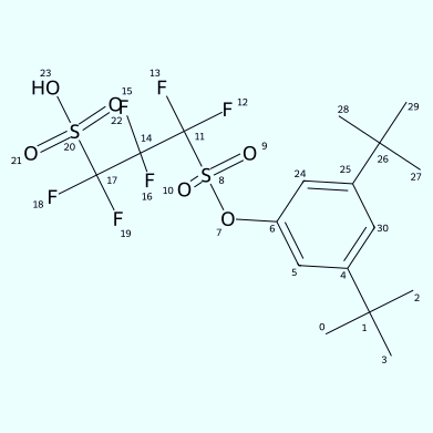 CC(C)(C)c1cc(OS(=O)(=O)C(F)(F)C(F)(F)C(F)(F)S(=O)(=O)O)cc(C(C)(C)C)c1